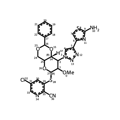 COC1C(n2cc(-c3csc(N)n3)nn2)[C@H]2OC(c3ccccc3)OCC2O[C@@H]1Sc1cc(Cl)cnc1C#N